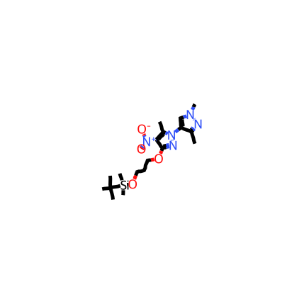 Cc1nn(C)cc1-n1nc(OCCCO[Si](C)(C)C(C)(C)C)c([N+](=O)[O-])c1C